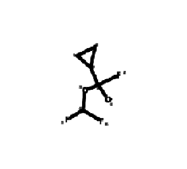 [O]C(F)(OC(F)F)C1CC1